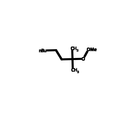 CCCCCCC(C)(C)OOC